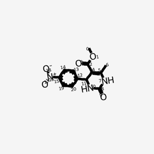 COC(=O)C1=C(C)NC(=O)NC1c1ccc([N+](=O)[O-])cc1